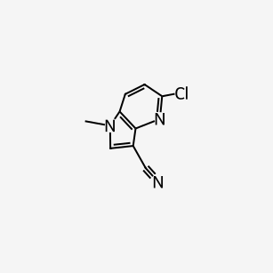 Cn1cc(C#N)c2nc(Cl)ccc21